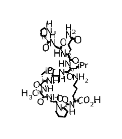 CC(C)C[C@H](NC(=O)CNC(=O)[C@H](CC(C)C)NC(=O)[C@H](CCC(N)=O)NC(=O)CNC(=O)[C@@H]1CCCN1)C(=O)N[C@@H](C)C(=O)NCC(=O)N1CCCC[C@H]1C(=O)N[C@@H](CCCCN)C(=O)O